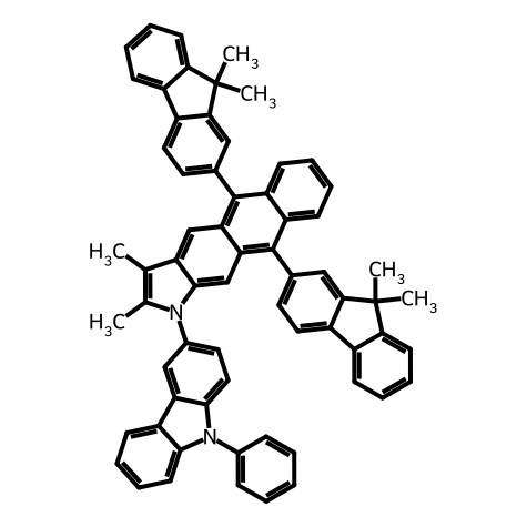 Cc1c(C)n(-c2ccc3c(c2)c2ccccc2n3-c2ccccc2)c2cc3c(-c4ccc5c(c4)C(C)(C)c4ccccc4-5)c4ccccc4c(-c4ccc5c(c4)C(C)(C)c4ccccc4-5)c3cc12